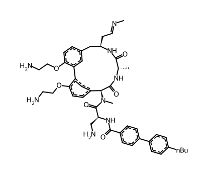 CCCCc1ccc(-c2ccc(C(=O)N[C@@H](CN)C(=O)N(C)[C@@H]3C(=O)N[C@@H](C)C(=O)N[C@H](C/C=N/C)Cc4ccc(OCCN)c(c4)-c4cc3ccc4OCCN)cc2)cc1